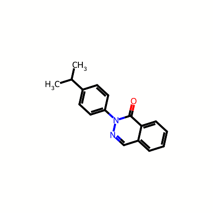 CC(C)c1ccc(-n2ncc3ccccc3c2=O)cc1